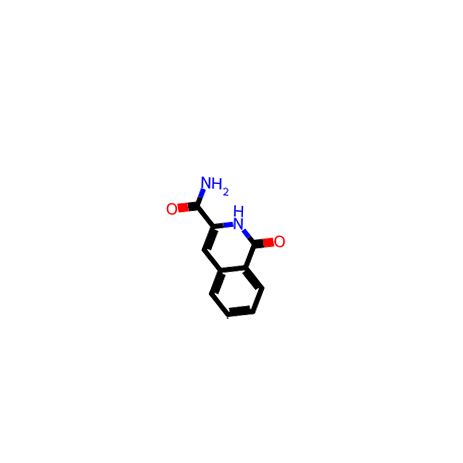 NC(=O)c1cc2c[c]ccc2c(=O)[nH]1